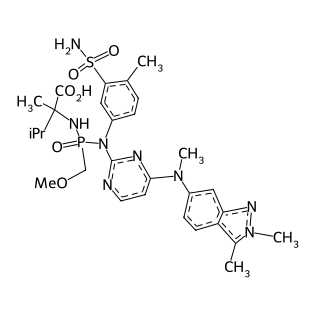 COCP(=O)(NC(C)(C(=O)O)C(C)C)N(c1ccc(C)c(S(N)(=O)=O)c1)c1nccc(N(C)c2ccc3c(C)n(C)nc3c2)n1